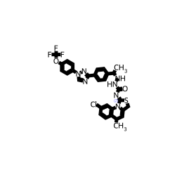 CC1C=C2CS/C(=N\C(=O)NNC(C)c3ccc(-c4ncn(-c5ccc(OC(F)(F)F)cc5)n4)cc3)N2c2cc(Cl)ccc21